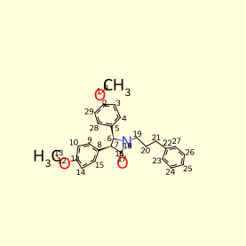 COc1ccc([C@@H]2[C@H](c3ccc(OC)cc3)C(=O)N2CCCc2ccccc2)cc1